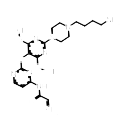 C=CC(=O)Nc1ccnc(Sc2c(OC)nc(N3CCN(CCCCN)CC3)nc2OC)n1